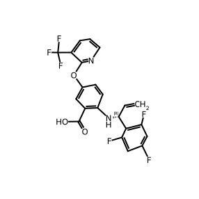 C=C[C@@H](Nc1ccc(Oc2ncccc2C(F)(F)F)cc1C(=O)O)c1c(F)cc(F)cc1F